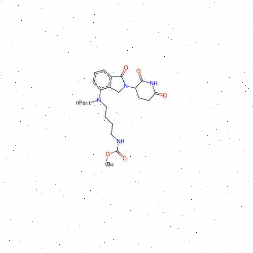 CCCCCN(CCCCNC(=O)OC(C)(C)C)c1cccc2c1CN(C1CCC(=O)NC1=O)C2=O